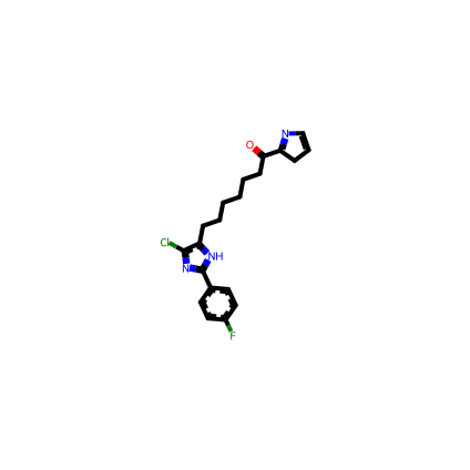 O=C(CCCCCCc1[nH]c(-c2ccc(F)cc2)nc1Cl)C1=NC=CC1